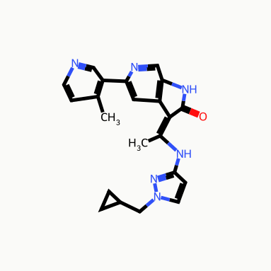 C/C(Nc1ccn(CC2CC2)n1)=C1/C(=O)Nc2cnc(-c3cnccc3C)cc21